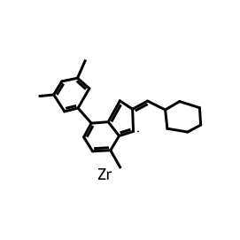 Cc1cc(C)cc(-c2ccc(C)c3c2=CC(=CC2CCCCC2)[C]=3)c1.[Zr]